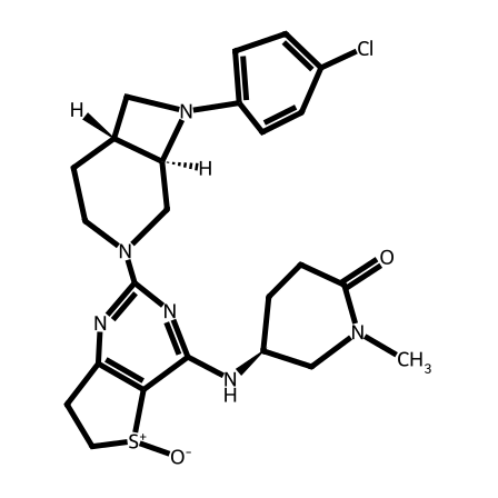 CN1C[C@@H](Nc2nc(N3CC[C@@H]4CN(c5ccc(Cl)cc5)[C@H]4C3)nc3c2[S+]([O-])CC3)CCC1=O